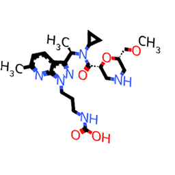 COC[C@@H]1CNC[C@H](C(=O)N(C2CC2)[C@H](C)c2nn(CCCNC(=O)O)c3nc(C)ccc23)O1